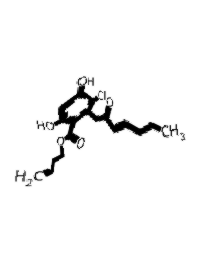 C=CCCOC(=O)c1c(O)cc(O)c(Cl)c1CC(=O)/C=C/CCC